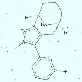 Cn1nc2c(c1-c1cccc(F)c1)C[C@@H]1CCC[C@H]2N1